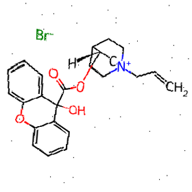 C=CC[N+]12CCC(CC1)[C@@H](OC(=O)C1(O)c3ccccc3Oc3ccccc31)C2.[Br-]